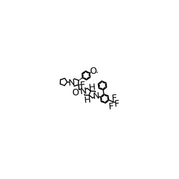 COc1ccc([C@@H]2CN(C3CCCC3)C[C@@]2(F)C(=O)N2C[C@@H]3CN(c4ccc(C(F)(F)F)cc4-c4ccccc4)C[C@@H]3C2)cc1